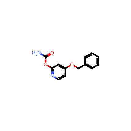 NC(=O)Oc1cc(OCc2ccccc2)ccn1